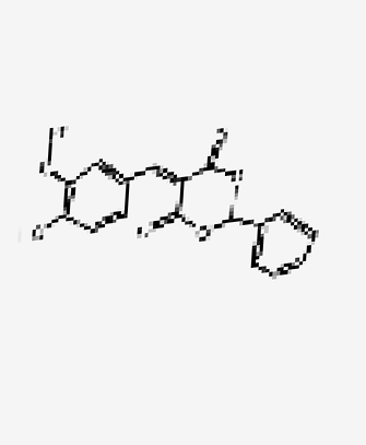 CCOc1cc(C=C2C(=O)OC(c3ccccc3)OC2=O)ccc1O